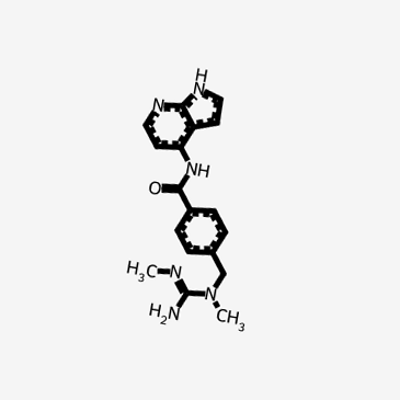 CN=C(N)N(C)Cc1ccc(C(=O)Nc2ccnc3[nH]ccc23)cc1